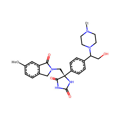 CCN1CCN(C(CO)c2ccc([C@]3(CN4Cc5ccc(OC)cc5C4=O)NC(=O)NC3=O)cc2)CC1